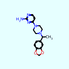 CC(c1ccc2c(c1)OCO2)N1CCN(c2ccnc(N)n2)CC1